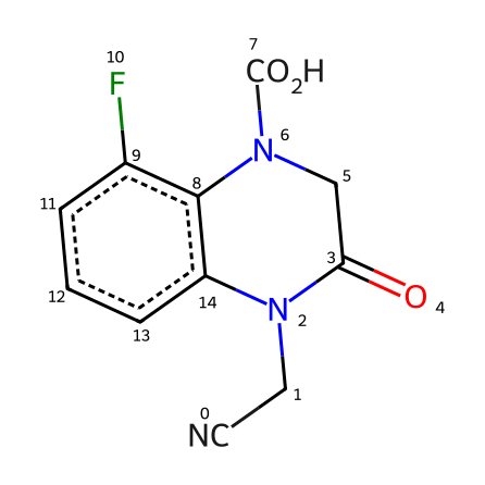 N#CCN1C(=O)CN(C(=O)O)c2c(F)cccc21